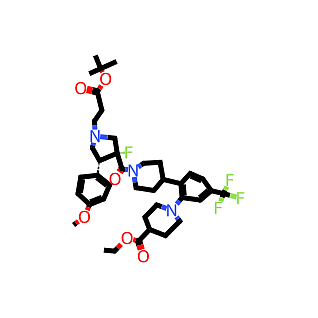 CCOC(=O)C1CCN(c2cc(C(F)(F)F)ccc2C2CCN(C(=O)[C@]3(F)CN(CCC(=O)OC(C)(C)C)C[C@H]3c3ccc(OC)cc3)CC2)CC1